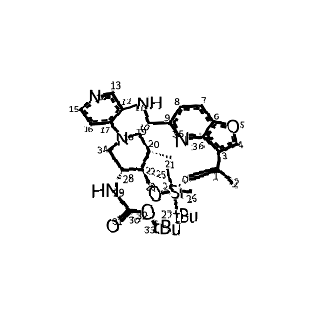 C=C(C)c1coc2ccc(CNc3cnccc3N3C[C@H](C)[C@@H](O[Si](C)(C)C(C)(C)C)[C@H](NC(=O)OC(C)(C)C)C3)nc12